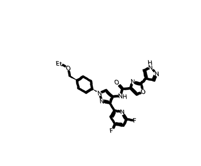 CCOC[C@H]1CC[C@H](n2cc(NC(=O)c3coc(-c4cn[nH]c4)n3)c(-c3cc(F)cc(F)n3)n2)CC1